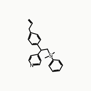 C=CCc1ccc(C(C[Si](C)(C)c2ccccc2)c2ccncc2)cc1